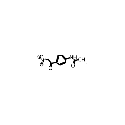 CC(=O)Nc1ccc(C(=O)C[N+](=O)[O-])cc1